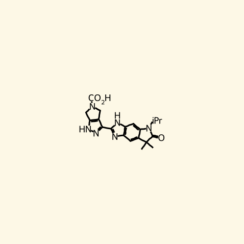 CC(C)N1C(=O)C(C)(C)c2cc3nc(-c4n[nH]c5c4CN(C(=O)O)C5)[nH]c3cc21